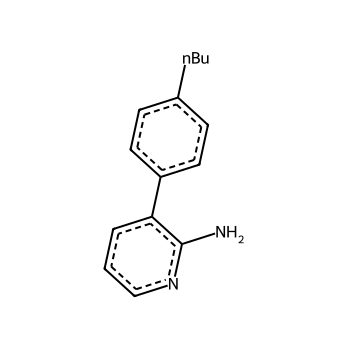 CCCCc1ccc(-c2cccnc2N)cc1